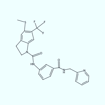 CSc1cc2c(cc1C(F)(F)F)N(C(=O)Nc1cccc(C(=O)NCc3ccccn3)c1)CC2